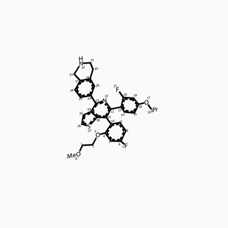 COCCOc1cc(F)ccc1-c1c(-c2ccc(OC(C)C)cc2F)nc(-c2ccc3c(c2)CCNC3)c2ccsc12